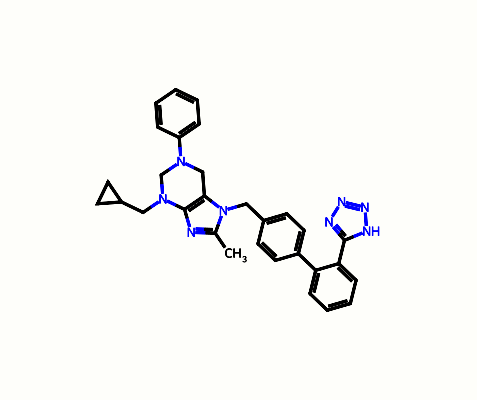 Cc1nc2c(n1Cc1ccc(-c3ccccc3-c3nnn[nH]3)cc1)CN(c1ccccc1)CN2CC1CC1